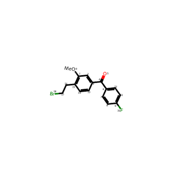 COc1cc(C(=O)c2ccc(F)cc2)ccc1CCBr